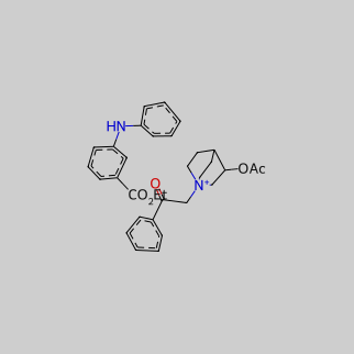 CC(=O)OC1C[N+]2(CC(=O)c3ccccc3)CCC1CC2.CCOC(=O)c1cccc(Nc2ccccc2)c1